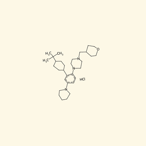 CC(C)(C)C1CCC(c2cc(N3CCCCC3)ccc2N2CCN(CC3CCOCC3)CC2)CC1.Cl